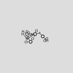 COC(C)(C)c1onc(-c2c(Cl)cccc2Cl)c1COc1ccc(C2CC2c2ccc(C(=O)O)cc2)c(Cl)c1